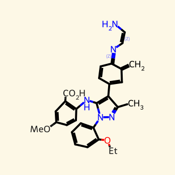 C=C1C=C(c2c(C)nn(-c3ccccc3OCC)c2Nc2ccc(OC)cc2C(=O)O)C=C/C1=N/C=C\N